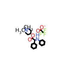 C[N+]1(C)CCC(OC(=O)C(Nc2ccccc2)c2ccccc2)CC1.O=C([O-])C(F)(F)F